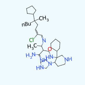 CCCCC(C)(C/C=C(Cl)\C=N/C(C)C(C(=N)N)C(=O)NC1(C2CCCCC2)CNCCC1N1CCNC1)C1CCCC1